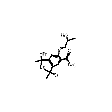 CCCC(C)(CC)c1cc(OCC(C)O)c(C(N)=O)cc1C(C)(C)CC